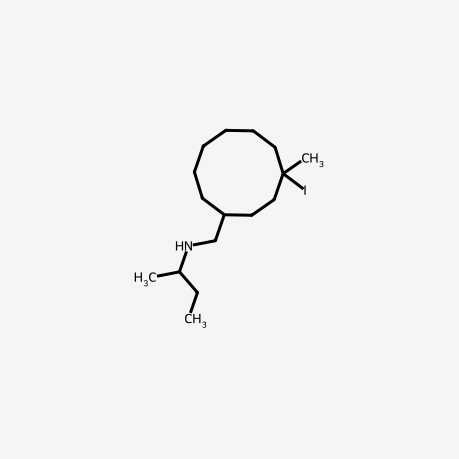 CCC(C)NCC1CCCCCCC(C)(I)CC1